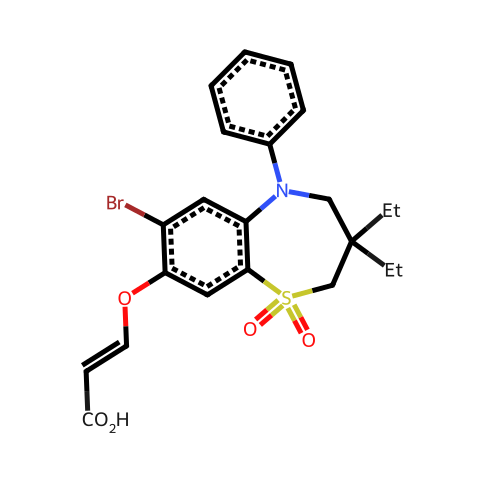 CCC1(CC)CN(c2ccccc2)c2cc(Br)c(OC=CC(=O)O)cc2S(=O)(=O)C1